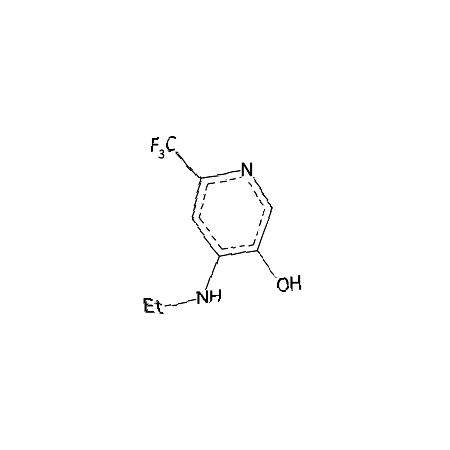 CCNc1cc(C(F)(F)F)ncc1O